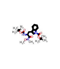 CON(C)C(=O)C(Cc1cn(C(=O)OC(C)(C)C)c2ccccc12)NC(=O)OC(C)(C)C